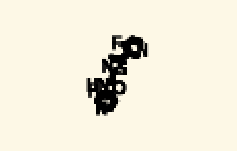 O=C(N[C@H]1CN2CCC1CC2)c1ncc(-c2cnccc2F)s1